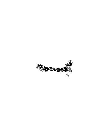 CC(C)(O)c1cc2nc(C3CCN(CCN4CCN(c5ccc6c(c5)CN(C5CCC(=O)NC5=O)C6=O)CC4)CC3)cn2cc1NC(=O)c1cccc(C(F)(F)F)n1